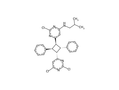 CC(C)CNc1cc([C@H]2[C@H](c3ccccc3)[C@H](c3cc(Cl)nc(Cl)n3)[C@H]2c2ccccc2)nc(Cl)n1